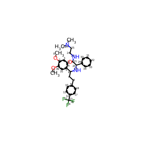 COc1ccc(C(CCc2ccc(C(F)(F)F)cc2)N[C@@H](C(=O)NCCN(C)C)c2ccccc2)cc1OC